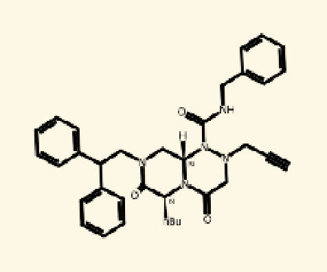 C#CCN1CC(=O)N2[C@@H](CCCC)C(=O)N(CC(c3ccccc3)c3ccccc3)C[C@@H]2N1C(=O)NCc1ccccc1